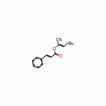 CCCCC=C(C#N)OC(=O)C=Cc1ccccc1